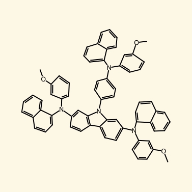 COc1cccc(N(c2ccc(-n3c4cc(N(c5cccc(OC)c5)c5cccc6ccccc56)ccc4c4ccc(N(c5cccc(OC)c5)c5cccc6ccccc56)cc43)cc2)c2cccc3ccccc23)c1